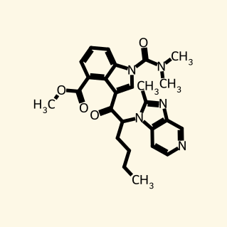 CCCCC(C(=O)c1cn(C(=O)N(C)C)c2cccc(C(=O)OC)c12)n1c(C)nc2cnccc21